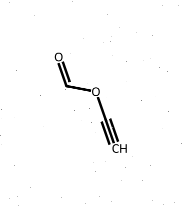 C#COC=O